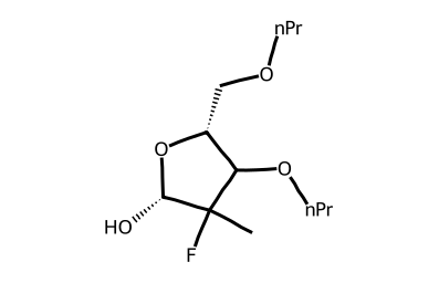 CCCOC[C@H]1O[C@@H](O)C(C)(F)C1OCCC